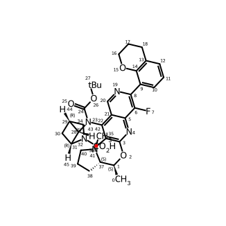 C[C@H](Oc1nc2c(F)c(-c3cccc4c3OCCC4)ncc2c(N(C(=O)OC(C)(C)C)[C@H]2[C@@H]3C[C@H]2N(C(=O)O)C3)c1I)[C@@H]1CCCN1C